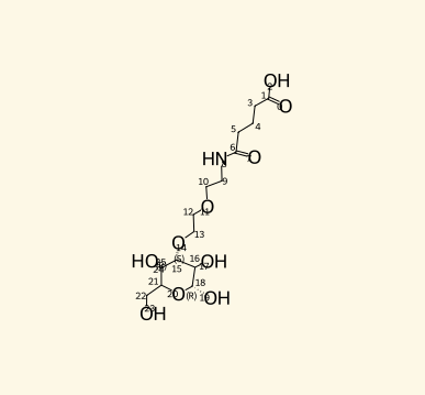 O=C(O)CCCC(=O)NCCOCCO[C@@H]1C(O)[C@H](O)OC(CO)[C@H]1O